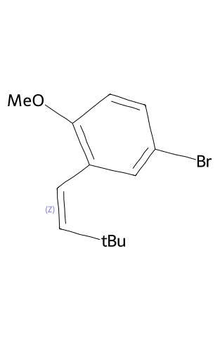 COc1ccc(Br)cc1/C=C\C(C)(C)C